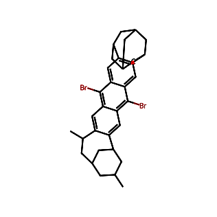 CC1CC2CC(C)c3cc4c(Br)c5cc6c(cc5c(Br)c4cc3C(C1)C2)C1CC2CC(CC6C2)C1